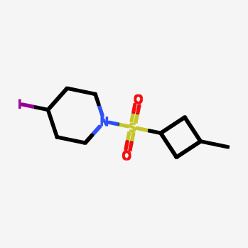 CC1CC(S(=O)(=O)N2CCC(I)CC2)C1